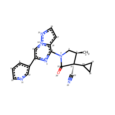 C[C@@H]1CN(c2nc(-c3cccnc3)cn3nccc23)C(=O)[C@]1(C#N)C1CC1